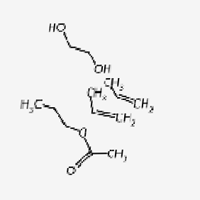 C=CC.C=CC.CCCOC(C)=O.OCCO